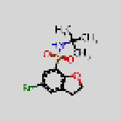 CC(C)(C)NS(=O)(=O)c1cc(Br)cc2c1OCC2